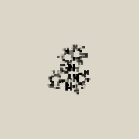 CC(=Nc1cccc2ccccc12)c1cccc(C(C)=Nc2cccc3ccccc23)n1